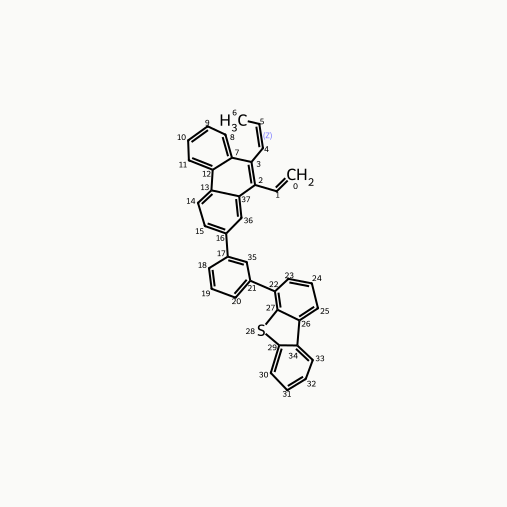 C=Cc1c(/C=C\C)c2ccccc2c2ccc(-c3cccc(-c4cccc5c4sc4ccccc45)c3)cc12